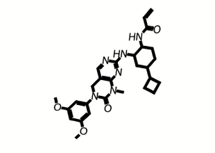 C=CC(=O)NC1CCC(C2CCC2)CC1Nc1ncc2c(n1)N(C)C(=O)N(c1cc(OC)cc(OC)c1)C2